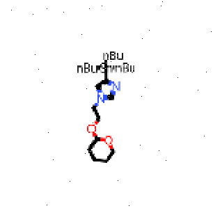 CCC[CH2][Sn]([CH2]CCC)([CH2]CCC)[c]1cn(CCOC2CCCCO2)cn1